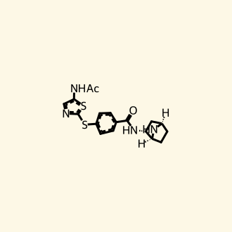 CC(=O)Nc1cnc(Sc2ccc(C(=O)N[C@@H]3C[C@H]4CC[C@@H]3N4)cc2)s1